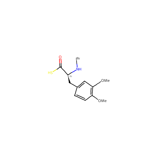 COc1ccc(C[C@H](NC(C)C)C(=O)S)cc1OC